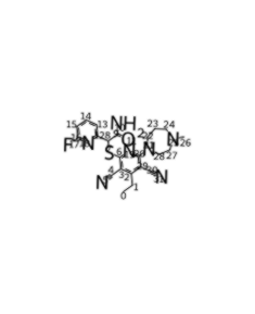 CCc1c(C#N)c(SC(C(N)=O)c2cccc(F)n2)nc(N2CCCN(C)CC2)c1C#N